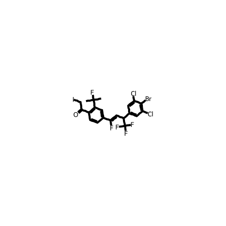 CC(C)(F)c1cc(/C(F)=C/C(c2cc(Cl)c(Br)c(Cl)c2)C(F)(F)F)ccc1C(=O)CI